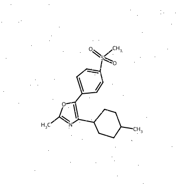 Cc1nc(C2CCC(C)CC2)c(-c2ccc(S(C)(=O)=O)cc2)o1